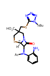 CCCCn1nnnc1SCC1(C(=O)O)CS[C@@H]2C(N(C(C)=O)c3ccccc3N)C(=O)N2C1